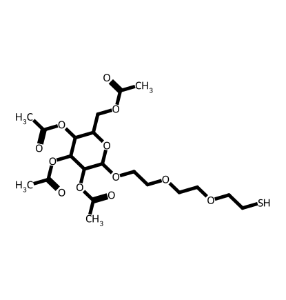 CC(=O)OCC1OC(OCCOCCOCCS)C(OC(C)=O)C(OC(C)=O)C1OC(C)=O